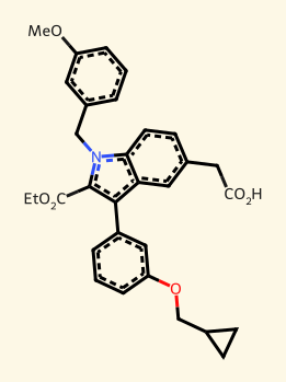 CCOC(=O)c1c(-c2cccc(OCC3CC3)c2)c2cc(CC(=O)O)ccc2n1Cc1cccc(OC)c1